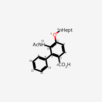 CCCCCCCOc1ccc(C(=O)O)c(-c2ccccc2)c1NC(C)=O